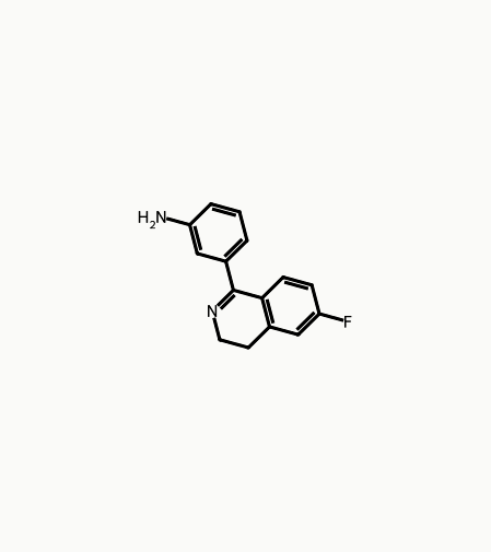 Nc1cccc(C2=NCCc3cc(F)ccc32)c1